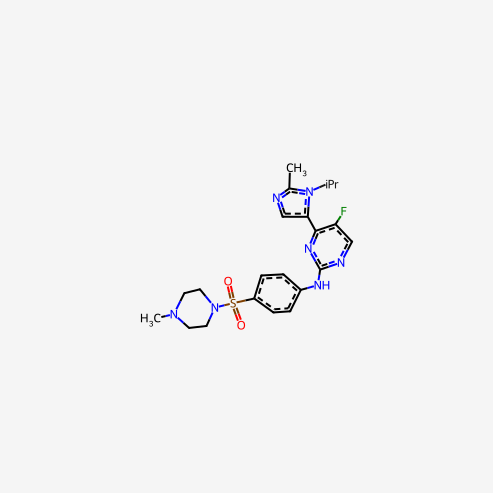 Cc1ncc(-c2nc(Nc3ccc(S(=O)(=O)N4CCN(C)CC4)cc3)ncc2F)n1C(C)C